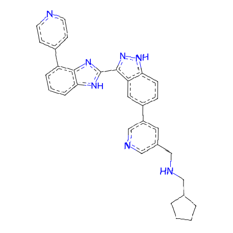 c1cc(-c2ccncc2)c2nc(-c3n[nH]c4ccc(-c5cncc(CNCC6CCCC6)c5)cc34)[nH]c2c1